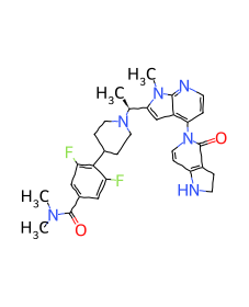 C[C@@H](c1cc2c(-n3ccc4c(c3=O)CCN4)ccnc2n1C)N1CCC(c2c(F)cc(C(=O)N(C)C)cc2F)CC1